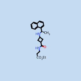 CCOC(=O)CCNC(=O)C1CC(N[C@H](C)c2cccc3ccccc23)C1